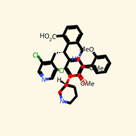 COc1ccc([C@H](Cc2c(Cl)cncc2Cl)c2c(CNC(C(=O)O[C@H]3CN4CCC3CC4)c3ccccc3OC)cccc2C(=O)O)cc1OC